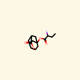 CCC(I)C(=O)OC12CC3CC(C1)OC(=O)C(C3)C2